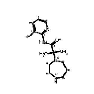 CC(C)(C(=O)Nc1ncccc1F)N1CCCNCC1